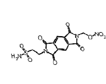 NS(=O)(=O)CCn1c(=O)c2cc3c(=O)n(CO[N+](=O)[O-])c(=O)c3cc2c1=O